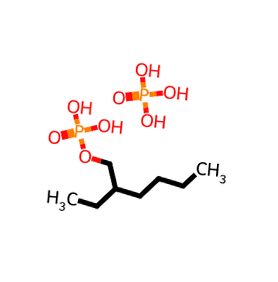 CCCCC(CC)COP(=O)(O)O.O=P(O)(O)O